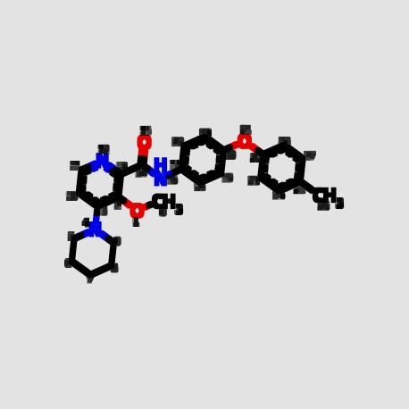 COc1c(N2CCCCC2)ccnc1C(=O)Nc1ccc(Oc2ccc(C)cc2)cc1